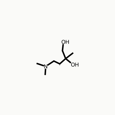 CN(C)C[CH]C(C)(O)CO